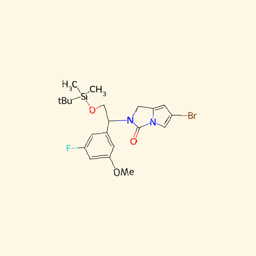 COc1cc(F)cc(C(CO[Si](C)(C)C(C)(C)C)N2Cc3cc(Br)cn3C2=O)c1